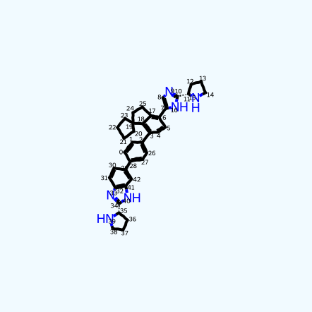 c1cc(-c2ccc(-c3cnc([C@@H]4CCCN4)[nH]3)c3c2C2(CCCC2)CC3)ccc1-c1ccc2nc([C@@H]3CCCN3)[nH]c2c1